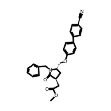 COC(=O)C[C@@H]1C[C@@H](COc2ccc(-c3ccc(C#N)cc3)cc2)N(Cc2ccccc2)C1=O